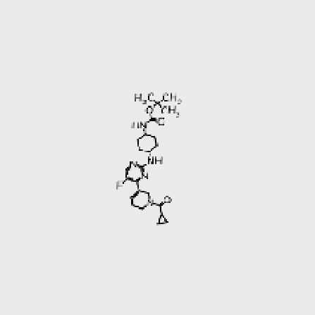 CC(C)(C)OC(=O)N[C@H]1CC[C@H](Nc2ncc(F)c(C3=CCCN(C(=O)C4CC4)C3)n2)CC1